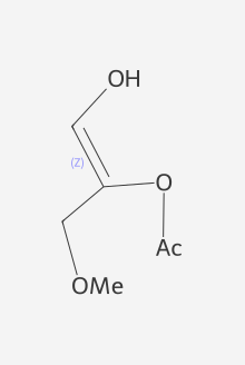 COC/C(=C/O)OC(C)=O